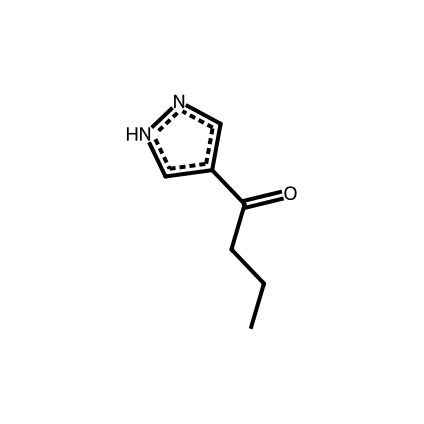 CCCC(=O)c1cn[nH]c1